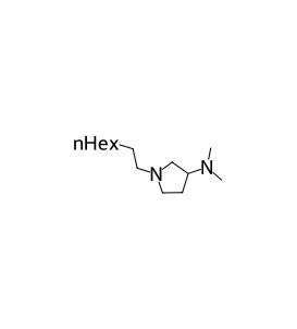 CCCCCCCCN1CCC(N(C)C)C1